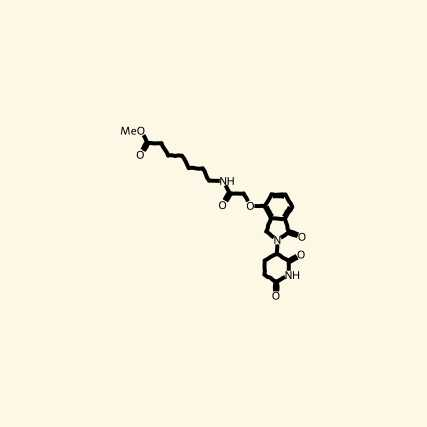 COC(=O)CCCCCCNC(=O)COc1cccc2c1CN(C1CCC(=O)NC1=O)C2=O